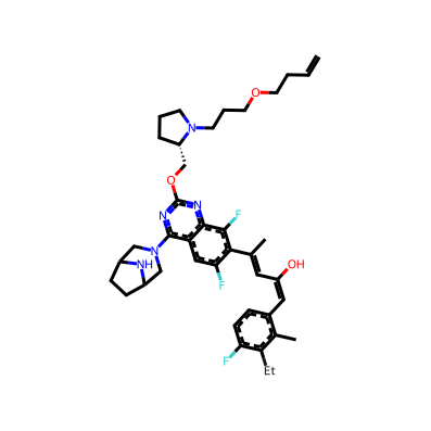 C=CCCOCCCN1CCC[C@H]1COc1nc(N2CC3CCC(C2)N3)c2cc(F)c(/C(C)=C/C(O)=C\c3ccc(F)c(CC)c3C)c(F)c2n1